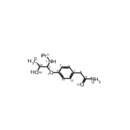 CC(C)NC(Oc1ccc(CC(N)=O)cc1)C(C)O